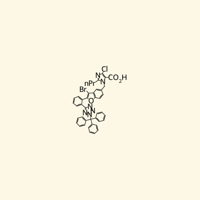 CCCc1nc(Cl)c(C(=O)O)n1Cc1ccc2oc(-c3ccccc3-c3nnn(C(c4ccccc4)(c4ccccc4)c4ccccc4)n3)c(Br)c2c1